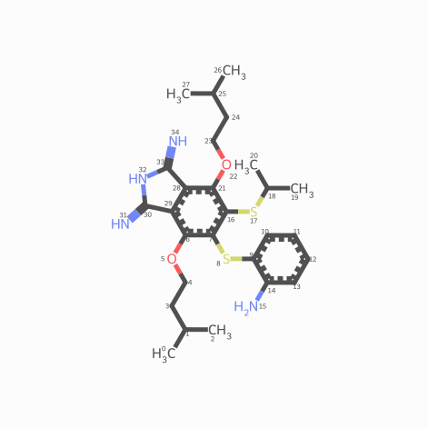 CC(C)CCOc1c(Sc2ccccc2N)c(SC(C)C)c(OCCC(C)C)c2c1C(=N)NC2=N